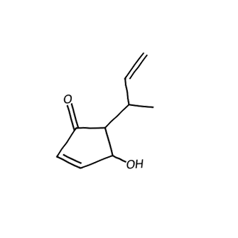 C=CC(C)C1C(=O)C=CC1O